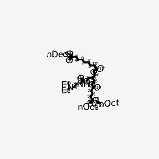 CCCCCCCCCCOC(=O)CCCCCCCC(=O)OCC(COC(=O)CCCC(=O)OC(CCCCCCCC)CCCCCCCC)COC(=O)NCCN(CC)CC